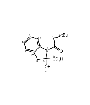 CC(C)(C)OC(=O)N1c2ncccc2CC1(O)C(=O)O